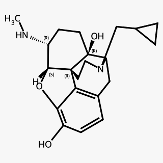 CN[C@@H]1CC[C@]2(O)C3Cc4ccc(O)c5c4[C@]2(CCN3CC2CC2)[C@@H]1O5